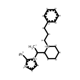 CC(C)c1nccn1C(C)C1CCCCN1CCCc1ccccc1